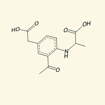 CC(=O)c1cc(CC(=O)O)ccc1NC(C)C(=O)O